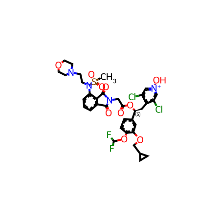 CS(=O)(=O)N(CCN1CCOCC1)c1cccc2c1C(=O)N(CC(=O)O[C@@H](Cc1c(Cl)c[n+](O)cc1Cl)c1ccc(OC(F)F)c(OCC3CC3)c1)C2=O